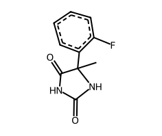 CC1(c2ccccc2F)NC(=O)NC1=O